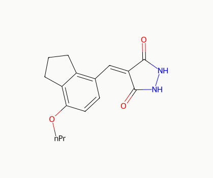 CCCOc1ccc(C=C2C(=O)NNC2=O)c2c1CCC2